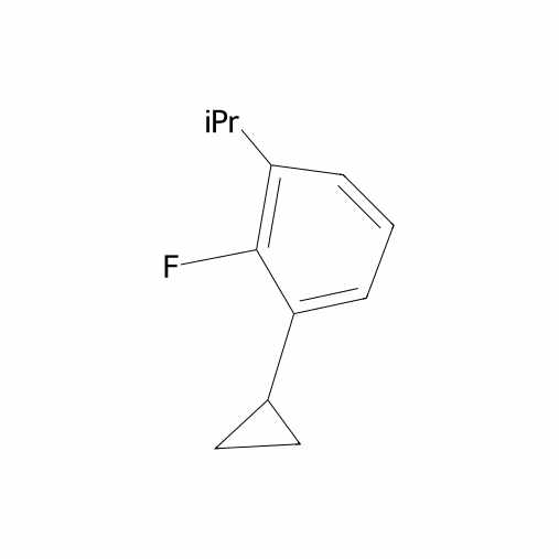 CC(C)c1cccc(C2CC2)c1F